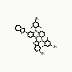 Cc1cc(C(C)(C)C)cc(C)c1N1c2cc(-c3cc4ccccc4o3)ccc2B2c3oc4ccc(C(C)(C)C)cc4c3N(c3c(C)cc(C(C)(C)C)cc3C)c3cccc1c32